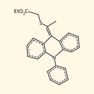 CCOC(=O)CSC(C)=C1c2ccccc2N(c2ccccc2)c2ccccc21